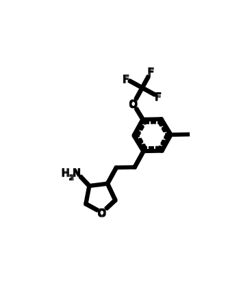 Cc1cc(CCC2COCC2N)cc(OC(F)(F)F)c1